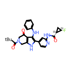 CC(C)(C)C(=O)N1CC(=O)c2c([nH]c(-c3ccnc(NC(=O)[C@@H]4C[C@@H]4F)c3)c2Nc2ccccc2)C1